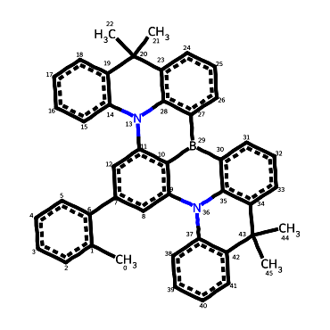 Cc1ccccc1-c1cc2c3c(c1)N1c4ccccc4C(C)(C)c4cccc(c41)B3c1cccc3c1N2c1ccccc1C3(C)C